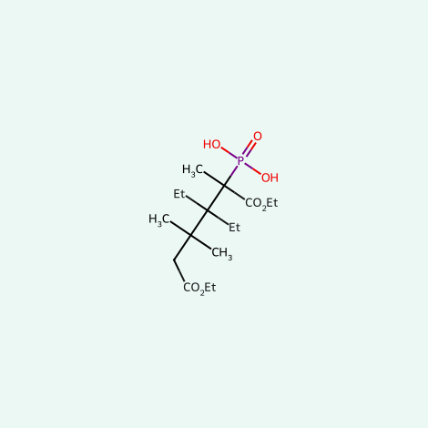 CCOC(=O)CC(C)(C)C(CC)(CC)C(C)(C(=O)OCC)P(=O)(O)O